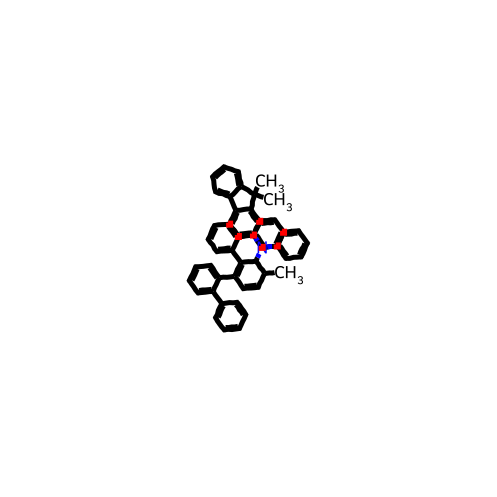 CC1C=CC(c2ccccc2-c2ccccc2)=C(c2ccccc2-c2ccccc2)C1N(c1ccccc1)c1ccc2c(c1)C(C)(C)c1ccccc1-2